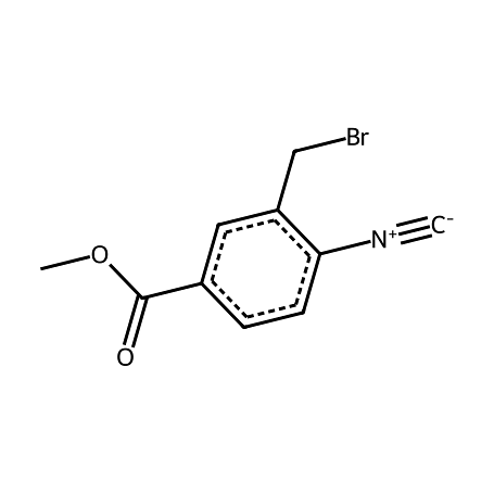 [C-]#[N+]c1ccc(C(=O)OC)cc1CBr